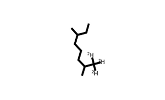 [2H]C([2H])([2H])C(C)CCCC(C)CC